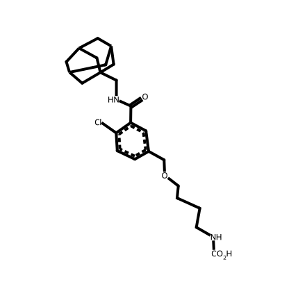 O=C(O)NCCCCOCc1ccc(Cl)c(C(=O)NCC23CC4CC(CC(C4)C2)C3)c1